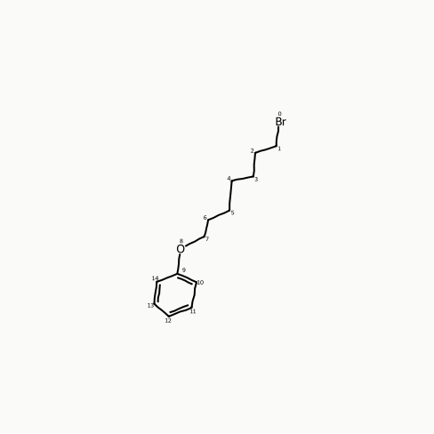 BrCCCCCCCOc1ccccc1